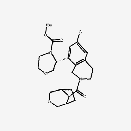 CC(C)(C)OC(=O)N1CCOC[C@H]1c1cc(Cl)cc2c1CN(C(=O)N1C3CCC1COC3)CC2